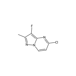 Cc1nn2ccc(Cl)nc2c1F